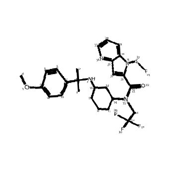 COc1ccc(C(C)(C)NC2CCCC(N(CC(F)(F)F)C(=O)c3cc4ncccc4n3SF)C2)cc1